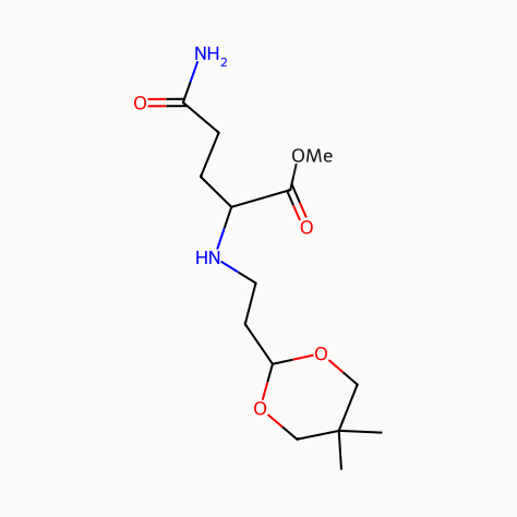 COC(=O)C(CCC(N)=O)NCCC1OCC(C)(C)CO1